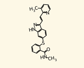 CNC(=O)c1ccccc1Sc1ccc2c(/C=C/c3ncccc3C)n[nH]c2c1